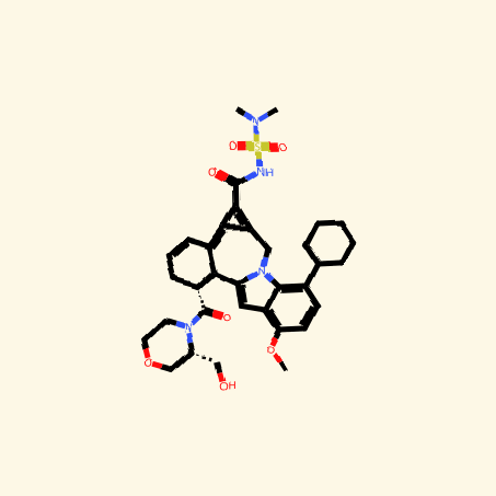 COc1ccc(C2CCCCC2)c2c1cc1n2CC2=C(C(=O)NS(=O)(=O)N(C)C)C2=C2C=CC[C@@H](C(=O)N3CCOC[C@H]3CO)C21